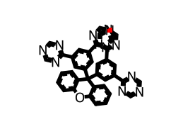 c1ccc2c(c1)Oc1ccccc1C2(c1cc(-c2ncncn2)cc(-c2ncncn2)c1)c1cc(-c2ncncn2)cc(-c2ncncn2)c1